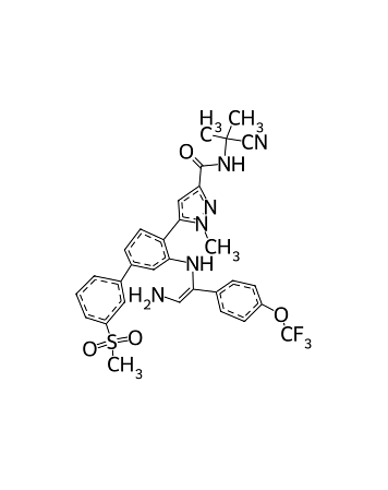 Cn1nc(C(=O)NC(C)(C)C#N)cc1-c1ccc(-c2cccc(S(C)(=O)=O)c2)cc1N/C(=C\N)c1ccc(OC(F)(F)F)cc1